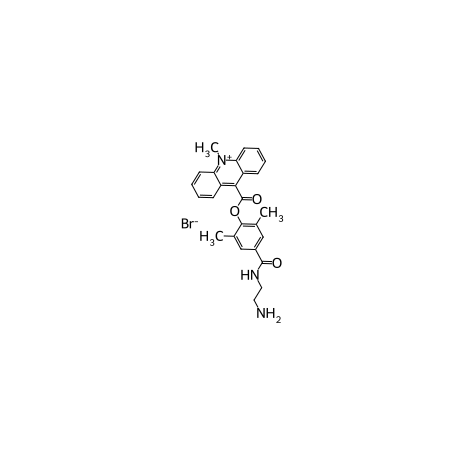 Cc1cc(C(=O)NCCN)cc(C)c1OC(=O)c1c2ccccc2[n+](C)c2ccccc12.[Br-]